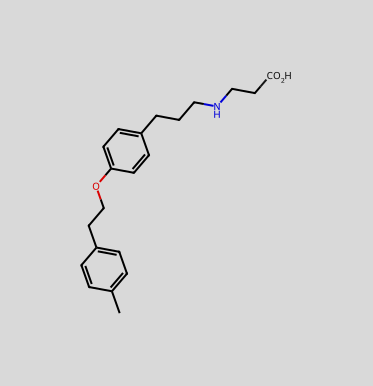 Cc1ccc(CCOc2ccc(CCCNCCC(=O)O)cc2)cc1